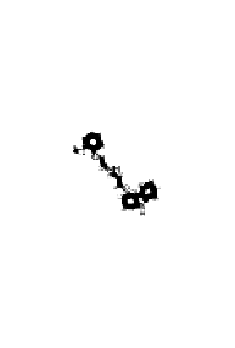 COc1ccccc1OCCNCCCOc1cccc2[nH]c3ccccc3c12